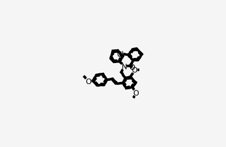 COc1ccc(C=Cc2cc(OC)cc(OC)c2CN(C(=O)c2ccccc2Cl)c2ccccc2)cc1